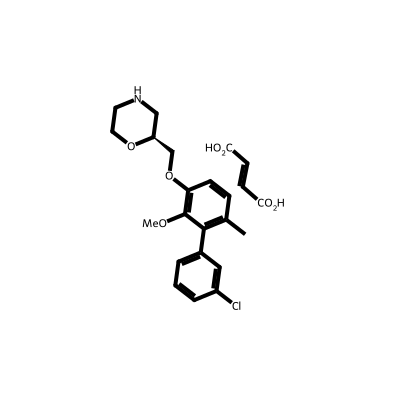 COc1c(OC[C@@H]2CNCCO2)ccc(C)c1-c1cccc(Cl)c1.O=C(O)/C=C/C(=O)O